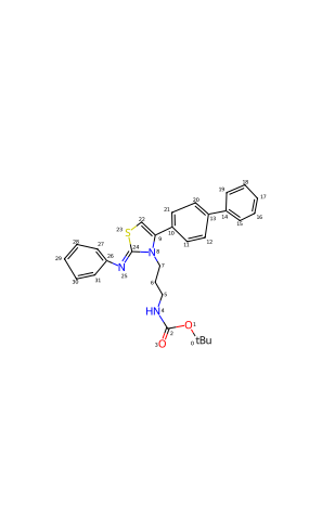 CC(C)(C)OC(=O)NCCCn1c(-c2ccc(-c3ccccc3)cc2)csc1=Nc1ccccc1